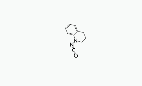 O=C=NN1CCCc2ccccc21